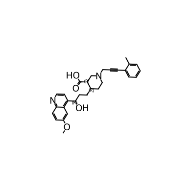 COc1ccc2nccc([C@H](O)CC[C@@H]3CCN(CC#Cc4ccccc4C)C[C@@H]3C(=O)O)c2c1